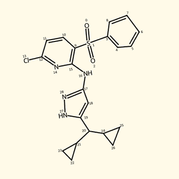 O=S(=O)(c1ccccc1)c1ccc(Cl)nc1Nc1cc(C(C2CC2)C2CC2)[nH]n1